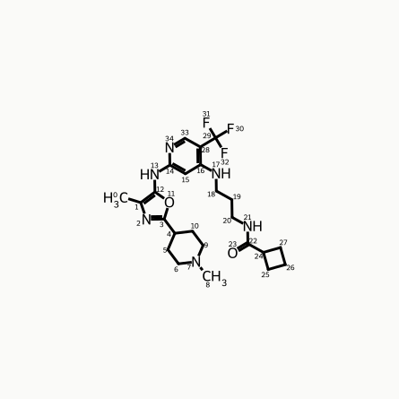 Cc1nc(C2CCN(C)CC2)oc1Nc1cc(NCCCNC(=O)C2CCC2)c(C(F)(F)F)cn1